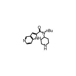 CCCCN(C(=O)c1cc2cnccc2[nH]1)C1CCNCC1